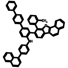 Cc1ccccc1-c1c(-c2cc(-c3ccc(-c4ccccc4)cc3)ccc2Nc2ccc(-c3cccc4ccccc34)cc2)ccc2c1oc1c3ccccc3ccc21